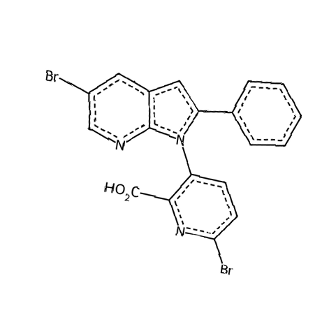 O=C(O)c1nc(Br)ccc1-n1c(-c2ccccc2)cc2cc(Br)cnc21